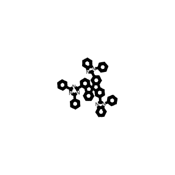 c1ccc(-c2nc(-c3ccccc3)nc(-c3cccc4c3-c3ccccc3C43c4cc(-c5nc6ccccc6n5-c5ccccc5)ccc4-c4ccc(-c5nc6ccccc6n5-c5ccccc5)cc43)n2)cc1